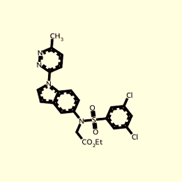 CCOC(=O)CN(c1ccc2c(ccn2-c2ccc(C)nn2)c1)S(=O)(=O)c1cc(Cl)cc(Cl)c1